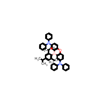 CC(C)c1cc(C(C)C)c(B2c3cc(N(c4ccccc4)c4ccccc4)ccc3Oc3ccc(N(c4ccccc4)c4ccccc4)cc32)c(C(C)C)c1